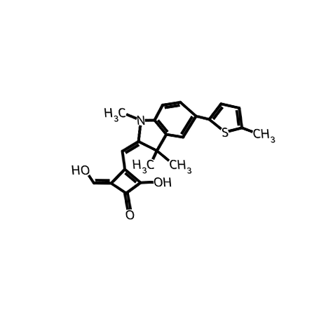 Cc1ccc(-c2ccc3c(c2)C(C)(C)/C(=C\C2=C(O)C(=O)/C2=C/O)N3C)s1